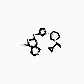 O=C(C1CC1)N1CCC[C@@H](n2cc(Oc3nc(O)c4ccncc4n3)cn2)C1